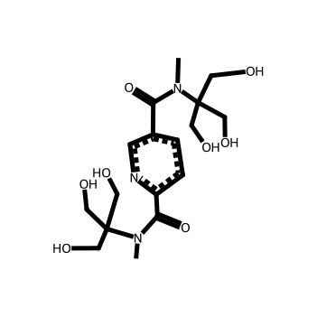 CN(C(=O)c1ccc(C(=O)N(C)C(CO)(CO)CO)nc1)C(CO)(CO)CO